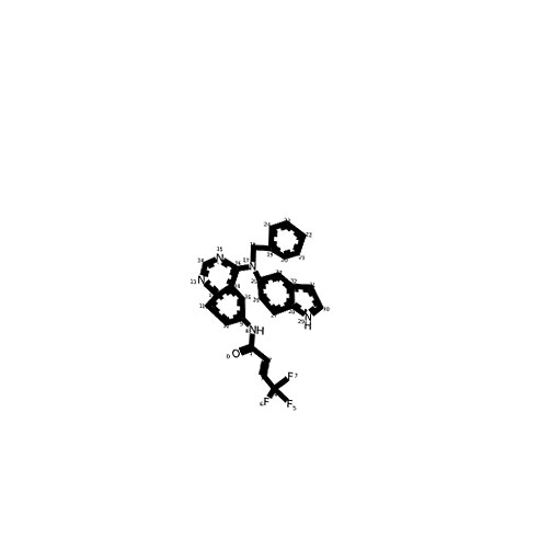 O=C(C=CC(F)(F)F)Nc1ccc2ncnc(N(Cc3ccccc3)c3ccc4[nH]ccc4c3)c2c1